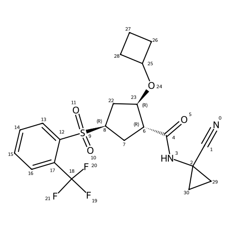 N#CC1(NC(=O)[C@@H]2C[C@@H](S(=O)(=O)c3ccccc3C(F)(F)F)C[C@H]2OC2CCC2)CC1